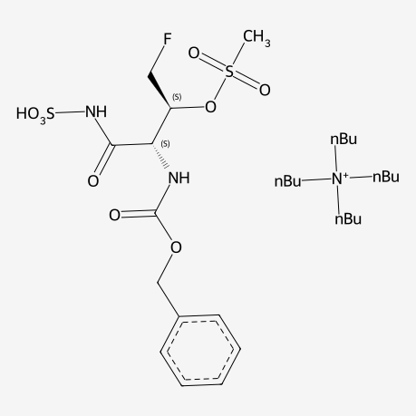 CCCC[N+](CCCC)(CCCC)CCCC.CS(=O)(=O)O[C@H](CF)[C@H](NC(=O)OCc1ccccc1)C(=O)NS(=O)(=O)O